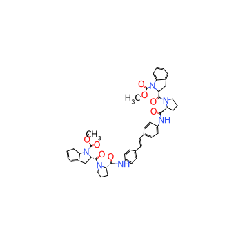 COC(=O)N1c2ccccc2C[C@H]1C(=O)N1CCC[C@H]1C(=O)Nc1ccc(/C=C/c2ccc(NC(=O)[C@@H]3CCCN3C(=O)[C@@H]3CC4=CC=CCC4N3C(=O)OC)cc2)cc1